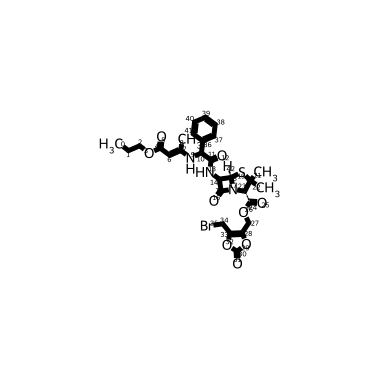 CCCOC(=O)/C=C(\C)NC(C(=O)NC1C(=O)N2[C@@H]1SC(C)(C)[C@@H]2C(=O)OCc1oc(=O)oc1CBr)c1ccccc1